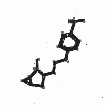 C[AsH]c1ccc(OCCC2CC3CC3N2C)cn1